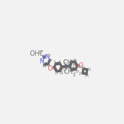 CC(C)(c1ccc(Oc2cnc(C=O)nc2)cc1)c1ccc(OC2CCC2)cc1